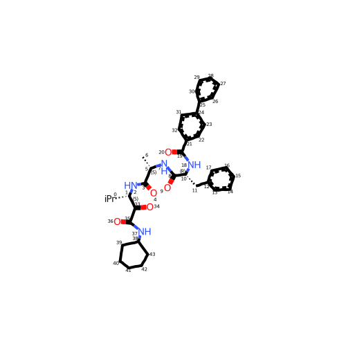 CC(C)[C@H](NC(=O)[C@H](C)NC(=O)[C@@H](Cc1ccccc1)NC(=O)c1ccc(-c2ccccc2)cc1)C(=O)C(=O)NC1CCCCC1